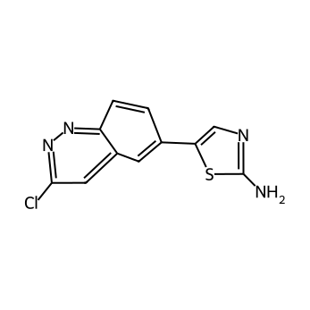 Nc1ncc(-c2ccc3nnc(Cl)cc3c2)s1